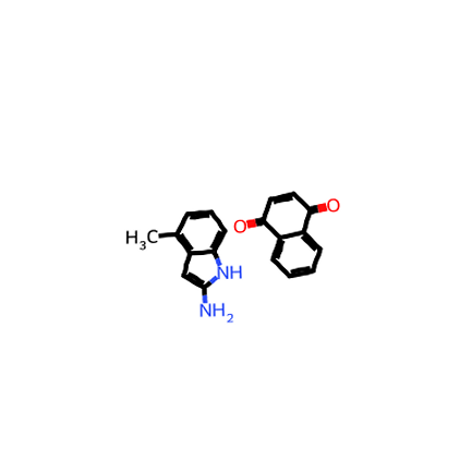 Cc1cccc2[nH]c(N)cc12.O=C1C=CC(=O)c2ccccc21